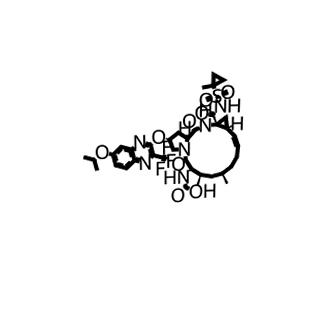 CC(C)Oc1ccc2nc(C(F)(F)F)c(O[C@@H]3C[C@H]4C(=O)N[C@]5(C(=O)NS(=O)(=O)C6(C)CC6)C[C@H]5/C=C\CC[C@@H](C)C[C@@H](C)[C@H](NC(=O)O)C(=O)N4C3)nc2c1